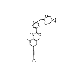 Cc1cc(C#CC2CC2)cc(C)c1N(C)C(=O)c1cn(CC2OCC3(CC3)CO2)nn1